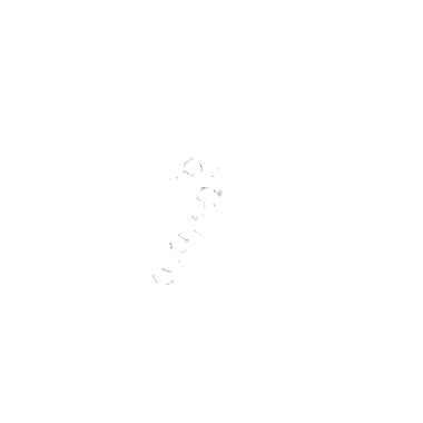 O=C(c1cccc(Oc2ccccc2)c1)N1CCCc2nc(C3(c4cccc(Cl)c4)CC3)[nH]c(=O)c2C1